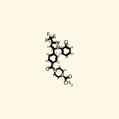 CC(=O)N1CCN(C(=O)c2ccc(-c3cc(C(F)(F)F)nn3-c3ccccc3Cl)cc2)CC1